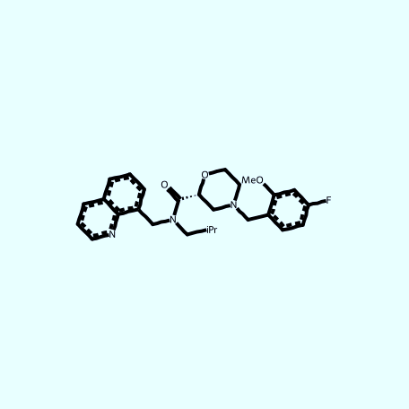 COc1cc(F)ccc1CN1CCO[C@@H](C(=O)N(Cc2cccc3cccnc23)CC(C)C)C1